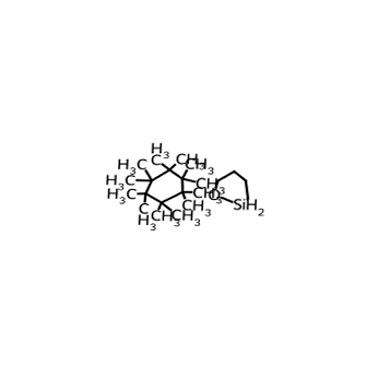 C1CC[SiH2]OC1.CC1(C)C(C)(C)C(C)(C)C(C)(C)C(C)(C)C1(C)C